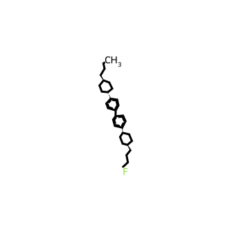 CCCC[C@H]1CC[C@H](c2ccc(-c3ccc([C@H]4CC[C@H](CCCCF)CC4)cc3)cc2)CC1